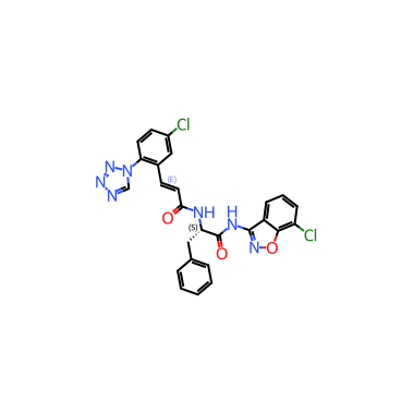 O=C(/C=C/c1cc(Cl)ccc1-n1cnnn1)N[C@@H](Cc1ccccc1)C(=O)Nc1noc2c(Cl)cccc12